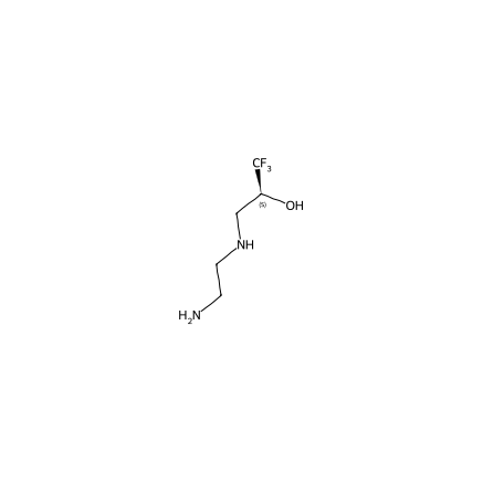 NCCNC[C@H](O)C(F)(F)F